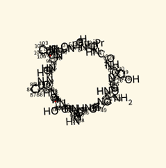 CCCC[C@H]1C(=O)N(C)[C@@H](CCCC)C(=O)N[C@@H](CC(C)C)C(=O)NCCC(=O)N[C@@H](Cc2ccc(O)cc2)C(=O)N(C)[C@@H](C)C(=O)N[C@@H](CC(N)=O)C(=O)N2CCC[C@H]2C(=O)N[C@@H](Cc2c[nH]cn2)C(=O)N[C@@H](CC(C)C)C(=O)N2C[C@H](O)C[C@H]2C(=O)N[C@@H](Cc2c[nH]c3ccccc23)C(=O)NCC(=O)N[C@@H](Cc2c[nH]c3ccccc23)C(=O)N1C